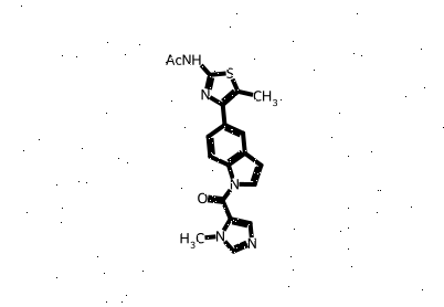 CC(=O)Nc1nc(-c2ccc3c(ccn3C(=O)c3cncn3C)c2)c(C)s1